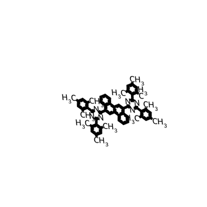 Cc1cc(C)c(-c2nc(-c3c(C)cc(C)cc3C)nc(-c3cc4c5ccccc5c(-c5nc(-c6c(C)cc(C)cc6C)nc(-c6c(C)cc(C)cc6C)n5)cc4c4ccccc34)n2)c(C)c1